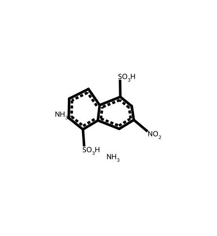 N.N.O=[N+]([O-])c1cc(S(=O)(=O)O)c2cccc(S(=O)(=O)O)c2c1